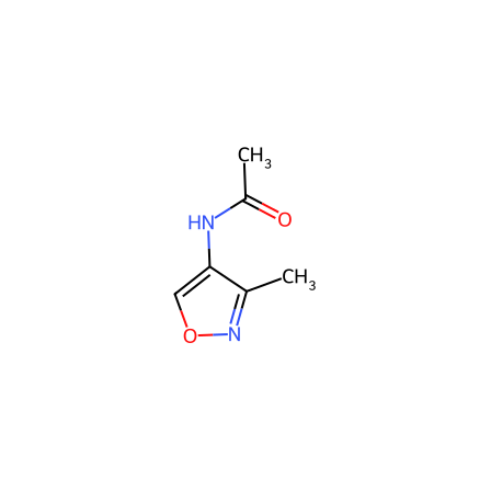 CC(=O)Nc1conc1C